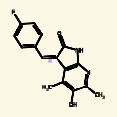 Cc1nc2c(c(C)c1O)/C(=C/c1ccc(F)cc1)C(=O)N2